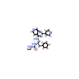 CCNC(=O)NC(CNc1nc(-c2ccncc2)nc2cnccc12)Cc1ccccc1